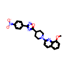 COc1cccc2ccc(N3CCC(c4nc(-c5ccc([N+](=O)[O-])cc5)no4)CC3)nc12